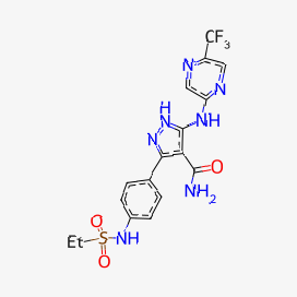 CCS(=O)(=O)Nc1ccc(-c2n[nH]c(Nc3cnc(C(F)(F)F)cn3)c2C(N)=O)cc1